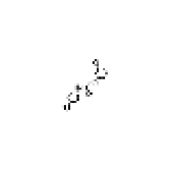 COc1ccc(NC(=O)COc2cccc(OC)c2)cc1